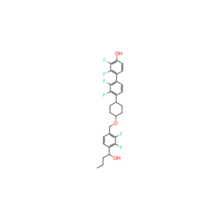 CCCC(O)c1ccc(COC2CCC(c3ccc(-c4ccc(O)c(F)c4F)c(F)c3F)CC2)c(F)c1F